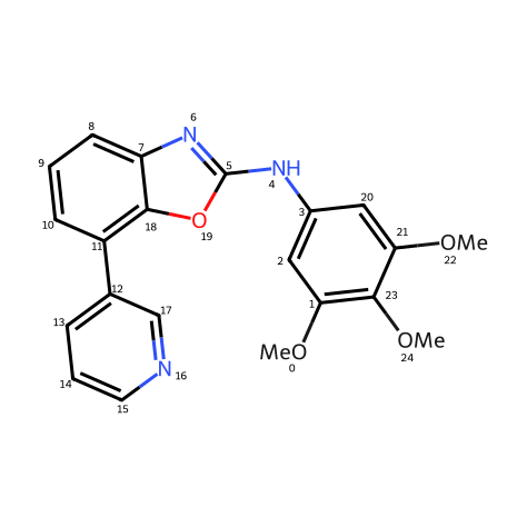 COc1cc(Nc2nc3cccc(-c4cccnc4)c3o2)cc(OC)c1OC